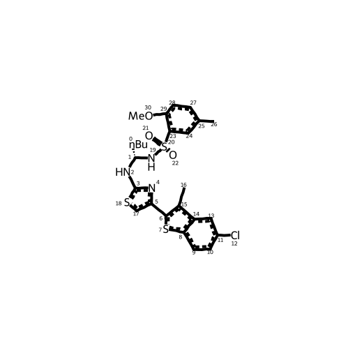 CCCC[C@@H](Nc1nc(-c2sc3ccc(Cl)cc3c2C)cs1)NS(=O)(=O)c1cc(C)ccc1OC